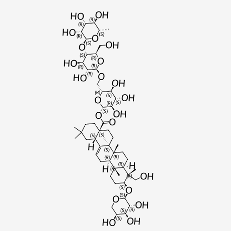 C[C@@H]1O[C@@H](O[C@H]2[C@H](O)[C@@H](O)[C@H](OC[C@H]3O[C@@H](OC(=O)[C@]45CCC(C)(C)C[C@H]4C4=CC[C@@H]6[C@@]7(C)CC[C@H](O[C@@H]8OC[C@H](O)[C@H](O)[C@H]8O)[C@@](C)(CO)[C@@H]7CC[C@@]6(C)[C@]4(C)CC5)[C@H](O)[C@@H](O)[C@@H]3O)O[C@@H]2CO)[C@H](O)[C@H](O)[C@H]1O